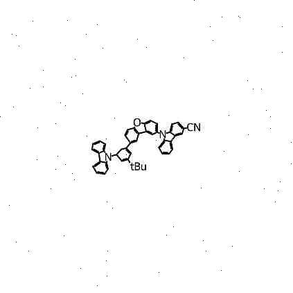 CC(C)(C)C1=CC(n2c3ccccc3c3ccccc32)CC(c2ccc3oc4ccc(-n5c6ccccc6c6cc(C#N)ccc65)cc4c3c2)=C1